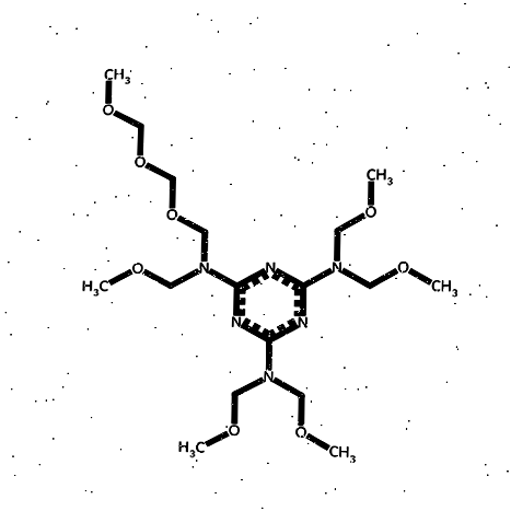 COCOCOCN(COC)c1nc(N(COC)COC)nc(N(COC)COC)n1